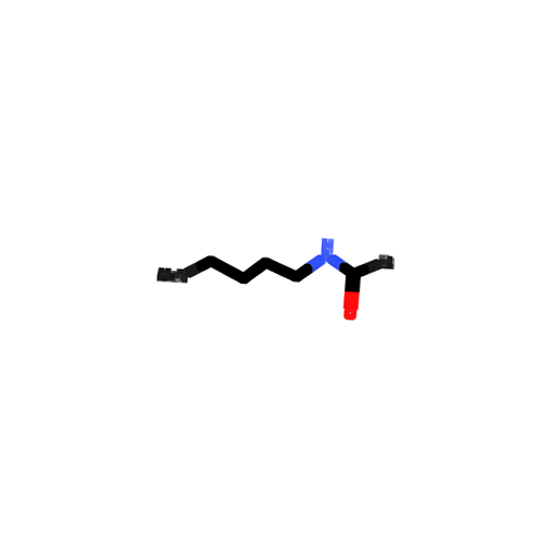 CCC(=O)NCCCCNC